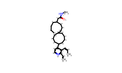 BNC(=O)CC1CCCC[C@@]2(CCCCC(c3ccnc(C=C)c3/C=C\C)CCC2)CCC1